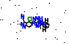 Cc1nc2c(-c3ccc4nn(C)c(C#N)c4c3Cl)n[nH]c2nc1N1[C@@H]2CC[C@@H]1CC(N)C2